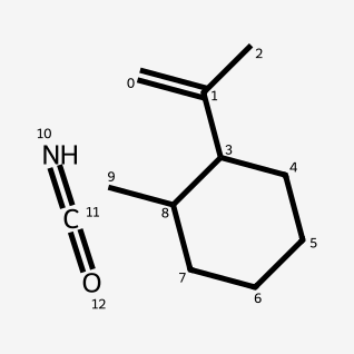 C=C(C)C1CCCCC1C.N=C=O